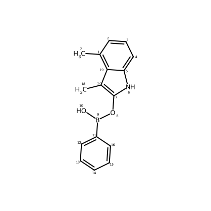 Cc1cccc2[nH]c(OB(O)c3ccccc3)c(C)c12